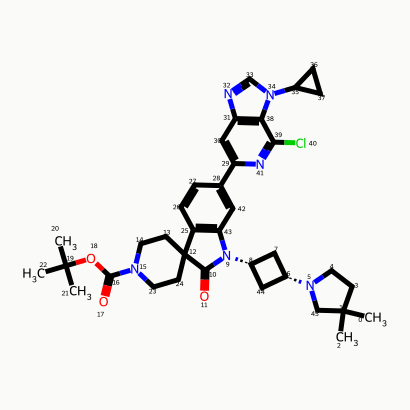 CC1(C)CCN([C@H]2C[C@@H](N3C(=O)C4(CCN(C(=O)OC(C)(C)C)CC4)c4ccc(-c5cc6ncn(C7CC7)c6c(Cl)n5)cc43)C2)C1